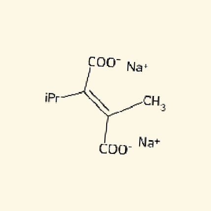 CC(C(=O)[O-])=C(C(=O)[O-])C(C)C.[Na+].[Na+]